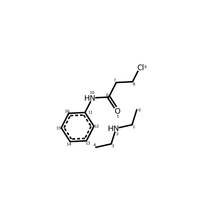 CCNCC.O=C(CCCl)Nc1ccccc1